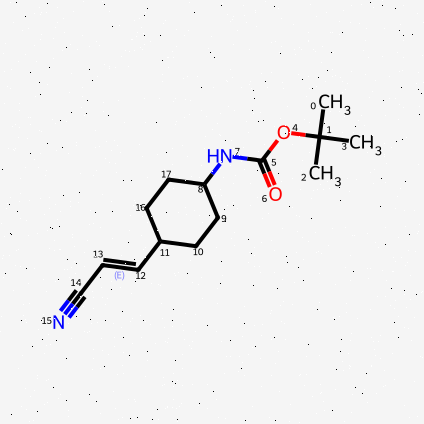 CC(C)(C)OC(=O)NC1CCC(/C=C/C#N)CC1